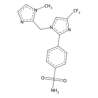 Cn1ccnc1Cn1cc(C(F)(F)F)nc1-c1ccc(S(N)(=O)=O)cc1